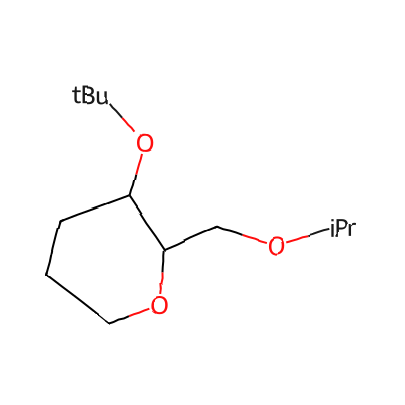 CC(C)OCC1OCCCC1OC(C)(C)C